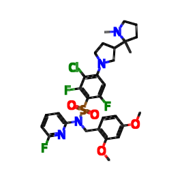 COc1ccc(CN(c2cccc(F)n2)S(=O)(=O)c2c(F)cc(N3CCC(C4(C)CCCN4C)C3)c(Cl)c2F)c(OC)c1